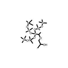 [CH2]C(O)COC(C)[Si](O[Si](C)(C)O[Si](C)(C)C)(O[Si](C)(C)O[Si](C)(C)C)O[Si](C)(C)O[Si](C)(C)C